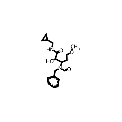 COCCC(C(O)C(=O)NCC1CC1)N(C=O)Cc1ccccc1